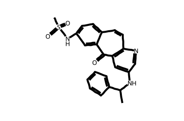 CC(Nc1cnc2ccc3ccc(NS(C)(=O)=O)cc3c(=O)c2c1)c1ccccc1